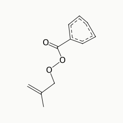 C=C(C)COOC(=O)c1ccccc1